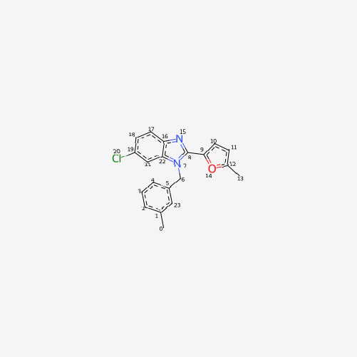 Cc1cccc(Cn2c(-c3ccc(C)o3)nc3ccc(Cl)cc32)c1